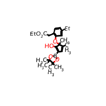 CCOC(=O)Cc1ccc(CC)cc1OC1(C)C(C)=CC(B2OC(C)(C)C(C)(C)O2)=C1O